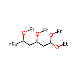 CCCCC(CC(CC(OCC)OCC)OCC)OCC